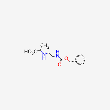 C[C@@H](NCCNC(=O)OCc1ccccc1)C(=O)O